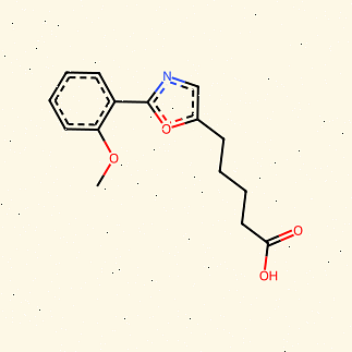 COc1ccccc1-c1ncc(CCCCC(=O)O)o1